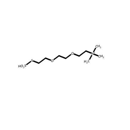 C[N+](C)(C)CCOCCOCCSS(=O)(=O)O